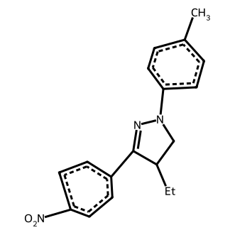 CCC1CN(c2ccc(C)cc2)N=C1c1ccc([N+](=O)[O-])cc1